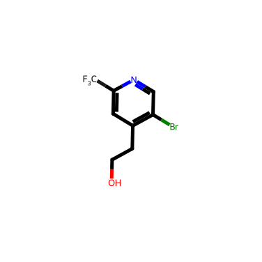 OCCc1cc(C(F)(F)F)ncc1Br